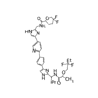 CCC(F)(F)COC(C)C(=O)NC(c1nc(-c2ccc(-c3ccc(-c4c[nH]c(CNC(=O)C5CCC(F)(F)CO5)n4)cn3)cc2)c[nH]1)C(C)C